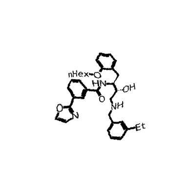 CCCCCCOc1ccccc1C[C@H](NC(=O)c1cccc(-c2ncco2)c1)[C@H](O)CNCc1cccc(CC)c1